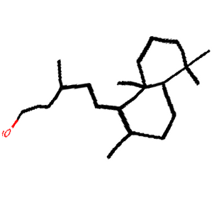 CC(CCO)CCC1C(C)CCC2C(C)(C)CCCC12C